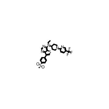 CCN(c1ncnc2c(-c3ccc(S(C)(=O)=O)cc3)csc12)C1CCN(c2ccc(C(F)(F)F)cn2)CC1